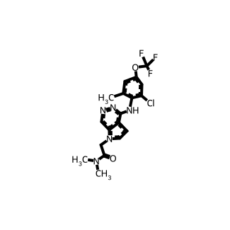 Cc1cc(OC(F)(F)F)cc(Cl)c1Nc1nncc2c1ccn2CC(=O)N(C)C